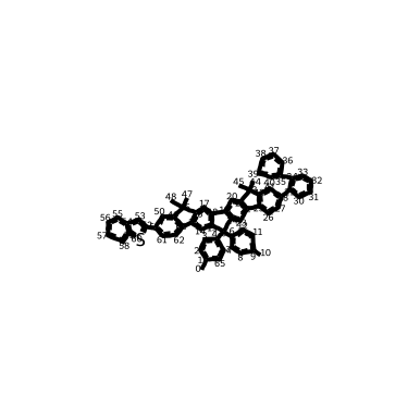 Cc1ccc(C2(c3ccc(C)cc3)c3cc4c(cc3-c3cc5c(cc32)-c2ccc(-c3ccccc3-c3ccccc3)cc2C5(C)C)C(C)(C)c2cc(-c3cc5ccccc5s3)ccc2-4)cc1